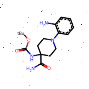 CC(C)(C)OC(=O)NC1(C(N)=O)CCN(c2ccccc2N)CC1